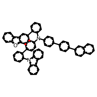 c1ccc(N(c2ccc(-c3ccc(-c4ccc5ccccc5c4)cc3)cc2)c2ccc(-c3ccccc3-n3c4ccccc4c4ccccc43)cc2)c(-c2ccc3oc4ccccc4c3c2)c1